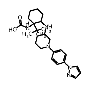 CC(C)(C)C1(NC(=O)O)CCCCC1NC1CCCN(c2ccc(-n3cccn3)cc2)C1